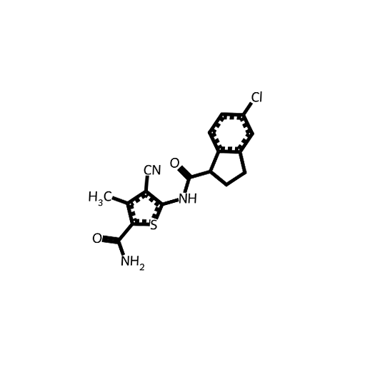 Cc1c(C(N)=O)sc(NC(=O)C2CCc3cc(Cl)ccc32)c1C#N